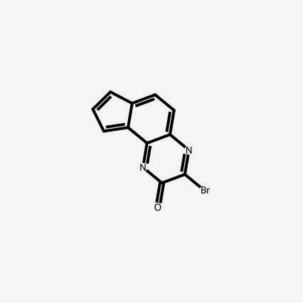 O=C1N=c2c(ccc3c2=CC=C3)N=C1Br